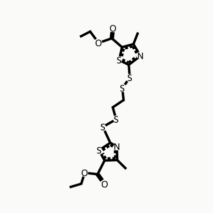 CCOC(=O)c1sc(SSCCSSc2nc(C)c(C(=O)OCC)s2)nc1C